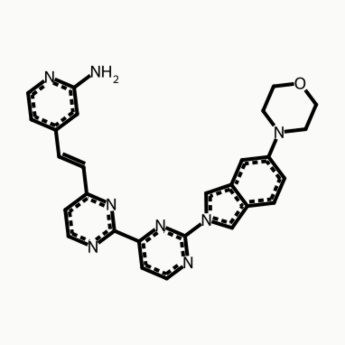 Nc1cc(/C=C/c2ccnc(-c3ccnc(-n4cc5ccc(N6CCOCC6)cc5c4)n3)n2)ccn1